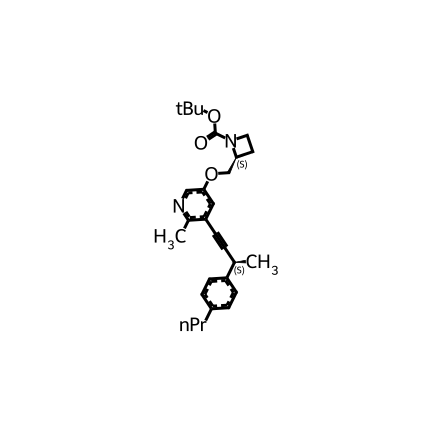 CCCc1ccc([C@H](C)C#Cc2cc(OC[C@@H]3CCN3C(=O)OC(C)(C)C)cnc2C)cc1